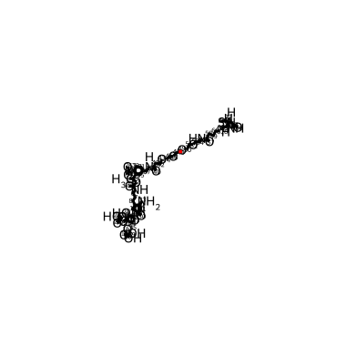 CC(OC(=O)NCCCc1cn([C@@H]2O[C@H](COP(=O)(O)O)C(OP(=O)(O)O)[C@@H]2O)c(=O)nc1N)c1cc(CNC(=O)CCOCCOCCOCCOCCNC(=O)CCCC[C@@H]2SC[C@@H]3NC(=O)N[C@@H]32)ccc1[N+](=O)[O-]